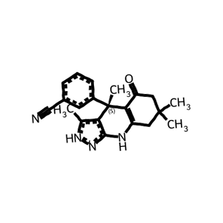 Cc1[nH]nc2c1[C@](C)(c1cccc(C#N)c1)C1=C(CC(C)(C)CC1=O)N2